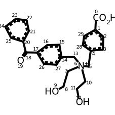 O=C(O)c1ccc(C[N+](CCO)(CCO)Cc2ccc(C(=O)c3ccccc3)cc2)cc1